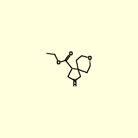 CCOC(=O)C1CNCC12CCOCC2